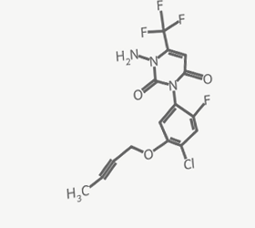 CC#CCOc1cc(-n2c(=O)cc(C(F)(F)F)n(N)c2=O)c(F)cc1Cl